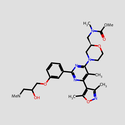 CNCC(O)COc1cccc(-c2nc(-c3c(C)noc3C)c(C)c(N3CCO[C@H](CN(C)C(=O)OC)C3)n2)c1